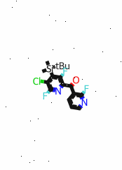 CC(C)(C)[Si](C)(C)c1c(F)c(C(=O)c2cccnc2F)nc(F)c1Cl